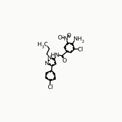 CCCn1nc(-c2ccc(Cl)cc2)cc1NC(=O)c1cc(Cl)c(N)c([N+](=O)[O-])c1